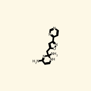 NC1=NC(N)(Cc2cc(-c3ccncn3)no2)NC=C1